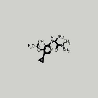 C[C@H](Oc1cc(NC(C(=O)N(C)C)C(C)(C)C)ncc1C1CC1)C(F)(F)F